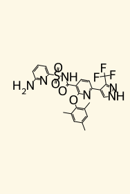 Cc1cc(C)c(Oc2nc(-c3c[nH]nc3C(F)(F)F)ccc2C(=O)NS(=O)(=O)c2cccc(N)n2)c(C)c1